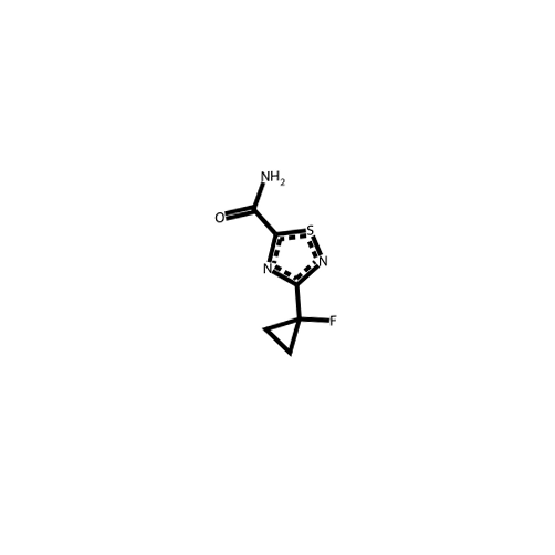 NC(=O)c1nc(C2(F)CC2)ns1